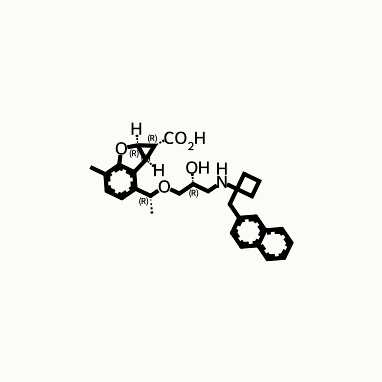 Cc1ccc([C@@H](C)OC[C@H](O)CNC2(Cc3ccc4ccccc4c3)CCC2)c2c1O[C@H]1[C@H](C(=O)O)[C@@H]21